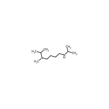 CC(C)NCCCCN(C)C(C)C